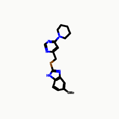 COc1ccc2[nH]c(SCc3cc(N4CCCCC4)ncn3)nc2c1